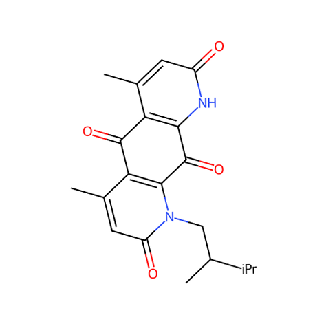 Cc1cc(=O)[nH]c2c1C(=O)c1c(C)cc(=O)n(CC(C)C(C)C)c1C2=O